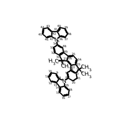 CC1(C)C2=C(C=C(n3c4ccccc4c4ccccc43)CC2)c2c1ccc1c2C(C)(C)c2ccc(-n3c4ccccc4c4ccccc43)cc2-1